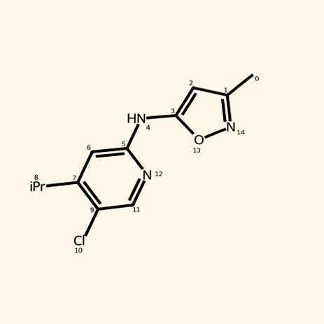 Cc1cc(Nc2cc(C(C)C)c(Cl)cn2)on1